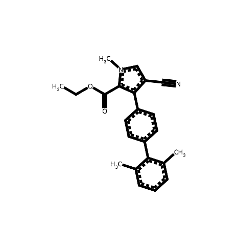 CCOC(=O)c1c(-c2ccc(-c3c(C)cccc3C)cc2)c(C#N)cn1C